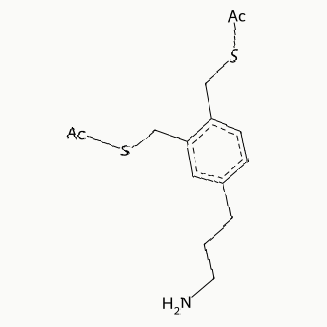 CC(=O)SCc1ccc(CCCN)cc1CSC(C)=O